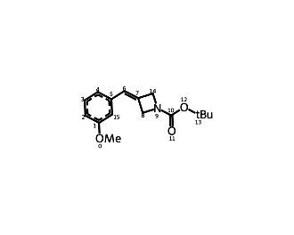 COc1cccc(C=C2CN(C(=O)OC(C)(C)C)C2)c1